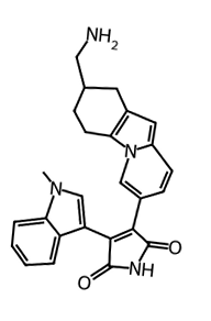 Cn1cc(C2=C(c3ccc4cc5c(n4c3)CCC(CN)C5)C(=O)NC2=O)c2ccccc21